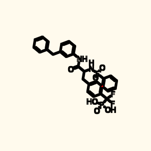 O=C(Nc1cccc(Cc2ccccc2)c1)C(Cc1ccc(C(F)(F)P(=O)(O)O)cc1)NS(=O)(=O)c1ccccc1